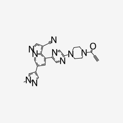 C#CC(=O)N1CCN(c2cnc(-c3cc(-c4cnn(C)c4)cn4ncc(C#N)c34)cn2)CC1